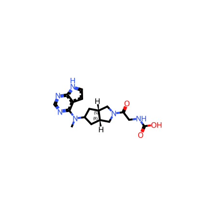 CN(c1ncnc2[nH]ccc12)C1C[C@@H]2CN(C(=O)CNC(=O)O)C[C@@H]2C1